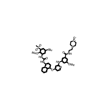 COc1cc(Nc2cc(Oc3ccc(NC(=O)Nc4cc(C(C)(C)C)cc(S(C)(=O)=O)c4OC)c4ccccc34)ccn2)cc(C(=O)NCCN2CC[S+]([O-])CC2)c1